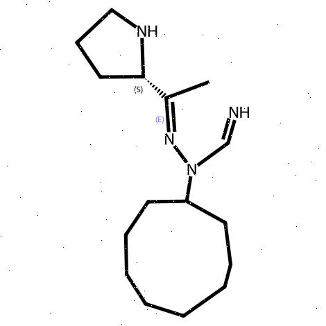 C/C(=N\N(C=N)C1CCCCCCCC1)[C@@H]1CCCN1